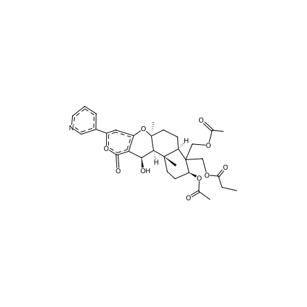 CCC(=O)OCC1(COC(C)=O)[C@@H](OC(C)=O)CC[C@]2(C)[C@H]3[C@@H](O)c4c(cc(-c5cccnc5)oc4=O)O[C@@]3(C)CC[C@@H]12